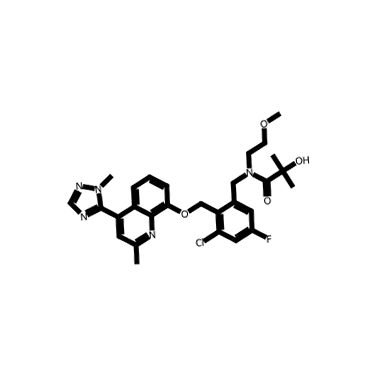 COCCN(Cc1cc(F)cc(Cl)c1COc1cccc2c(-c3ncnn3C)cc(C)nc12)C(=O)C(C)(C)O